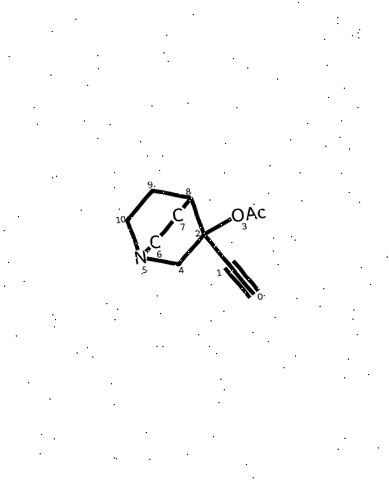 C#CC1(OC(C)=O)CN2CCC1CC2